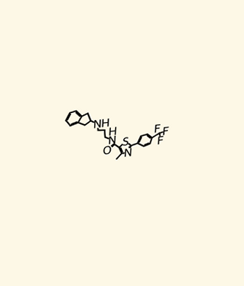 Cc1nc(-c2ccc(C(F)(F)F)cc2)sc1C(=O)NCCCNC1Cc2ccccc2C1